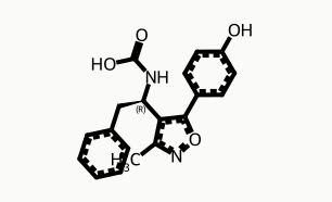 Cc1noc(-c2ccc(O)cc2)c1[C@@H](Cc1ccccc1)NC(=O)O